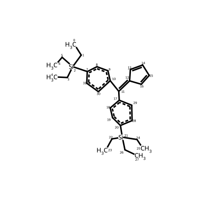 CC[Si](CC)(CC)c1ccc(C(=C2[C]=CC=C2)c2ccc([Si](CC)(CC)CC)cc2)cc1